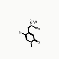 Cn1cc(Br)c(CN(C(=O)O)C(C)(C)C)cc1=O